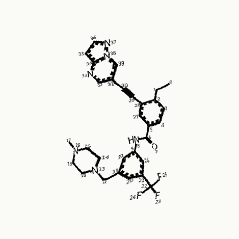 CCc1ccc(C(=O)Nc2cc(CN3CCN(C)CC3)cc(C(F)(F)F)c2)cc1C#Cc1cnc2ccnn2c1